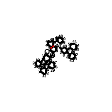 C1=CC(N(c2ccc3c(c2)Oc2cc4c(cc2O3)-c2ccccc2C42c3ccccc3-c3ccccc32)c2ccccc2-c2ccccc2)CC(c2ccccc2)=C1c1ccccc1